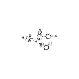 CS(=O)(=O)CC[C@@H](CNCc1cccc(Cl)c1)NCc1cncn1Cc1ccc(C#N)cc1